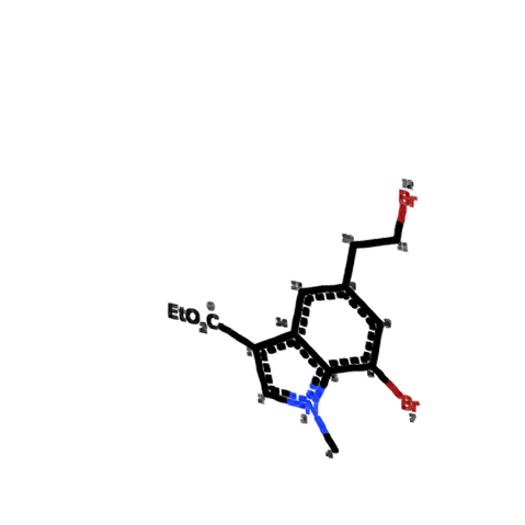 CCOC(=O)c1cn(C)c2c(Br)cc(CCBr)cc12